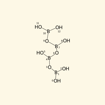 OB(O)OB(O)OB(O)OB(O)O